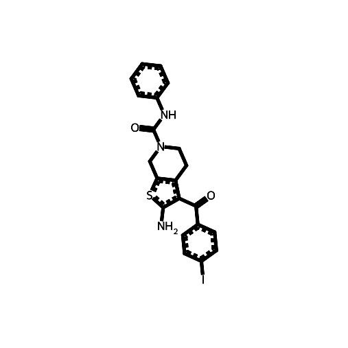 Nc1sc2c(c1C(=O)c1ccc(I)cc1)CCN(C(=O)Nc1ccccc1)C2